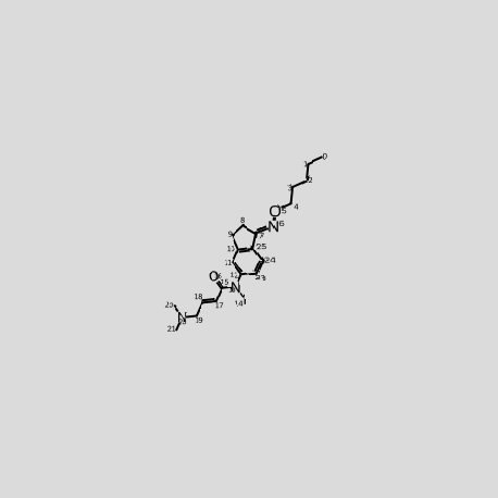 CCCCCO/N=C1\CCc2cc(N(I)C(=O)/C=C/CN(C)C)ccc21